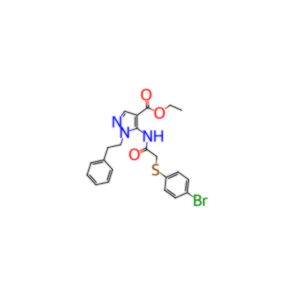 CCOC(=O)c1cnn(CCc2ccccc2)c1NC(=O)CSc1ccc(Br)cc1